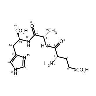 C[C@H](NC(=O)[C@@H](N)CCC(=O)O)C(=O)N[C@@H](Cc1c[nH]cn1)C(=O)O